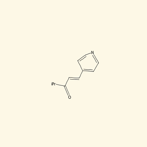 CC(C)C(=O)C=Cc1ccncc1